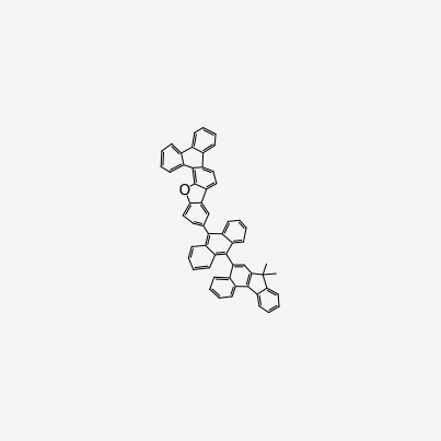 CC1(C)c2ccccc2-c2c1cc(-c1c3ccccc3c(-c3ccc4oc5c(ccc6c7ccccc7c7ccccc7c65)c4c3)c3ccccc13)c1ccccc21